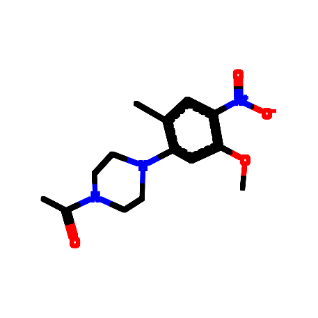 COc1cc(N2CCN(C(C)=O)CC2)c(C)cc1[N+](=O)[O-]